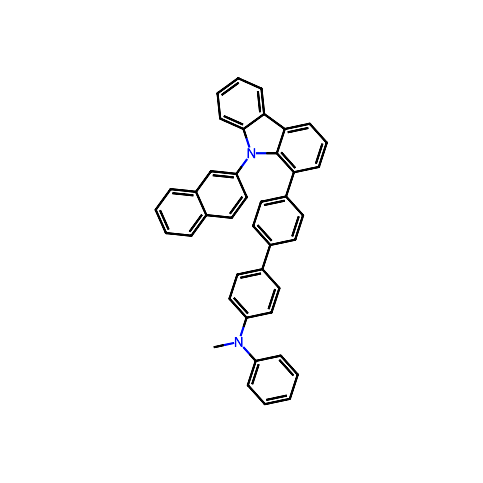 CN(c1ccccc1)c1ccc(-c2ccc(-c3cccc4c5ccccc5n(-c5ccc6ccccc6c5)c34)cc2)cc1